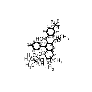 COC(C)c1nc2c(c(-c3ccc(F)cc3)c1C(O)c1ccc(C(F)(F)F)cc1)[C@@H](O[Si](C)(C)C(C)(C)C)CC(C)(C)C2